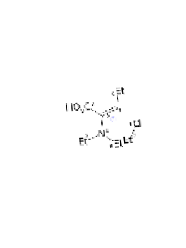 CC/C=C(\C(=O)O)N(CC)CC.CCCl